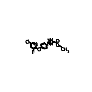 CCOC(=O)c1nnn(-c2ccc(Oc3ncc(Cl)cc3F)cc2)n1